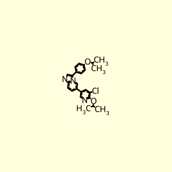 CC(C)Oc1ccc(-c2cnc3ccc(-c4cnc(OC(C)C)c(Cl)c4)cn23)cc1